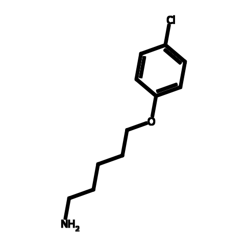 NCCCCCOc1ccc(Cl)cc1